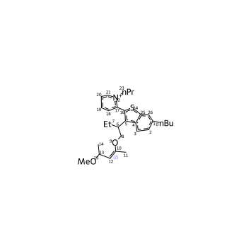 CCCCc1ccc2c(C(CC)CO/C(C)=C\C(C)OC)c(-c3cccc[n+]3CCC)sc2c1